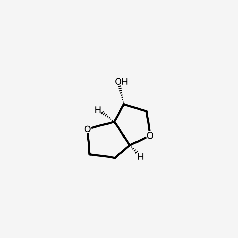 O[C@@H]1CO[C@H]2CCO[C@@H]12